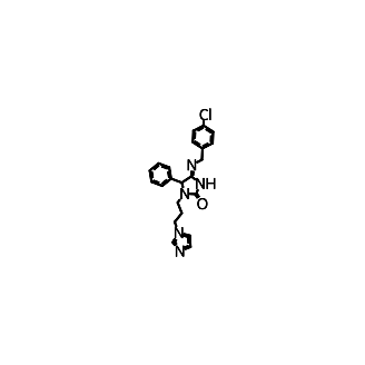 O=C1NC(=NCc2ccc(Cl)cc2)C(c2ccccc2)N1CCCn1ccnc1